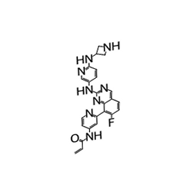 C=CC(=O)Nc1ccnc(-c2c(F)ccc3cnc(Nc4ccc(NC5CNC5)nc4)nc23)c1